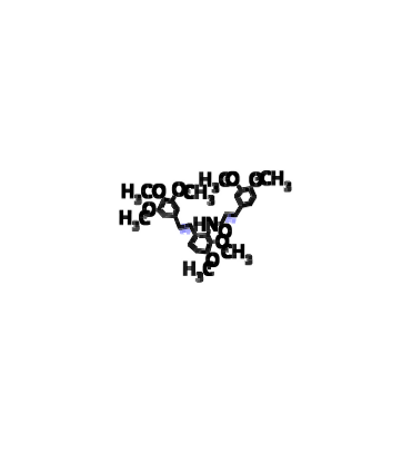 COc1ccc(/C=C/C(=O)Nc2c(/C=C/c3cc(OC)c(OC)c(OC)c3)ccc(OC)c2OC)cc1OC